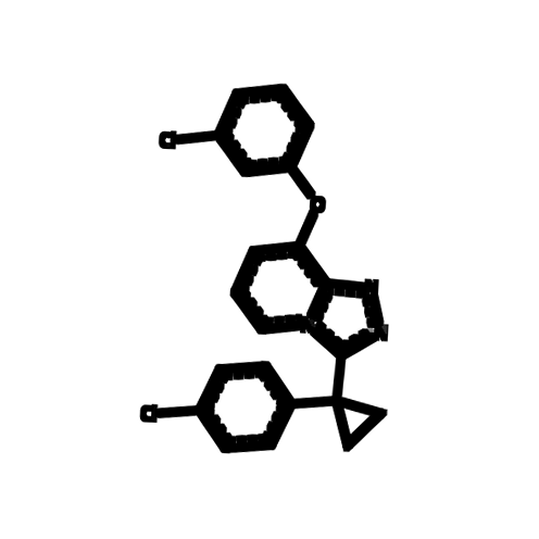 Clc1ccc(C2(c3nnc4c(Oc5cccc(Cl)c5)cccn34)CC2)cc1